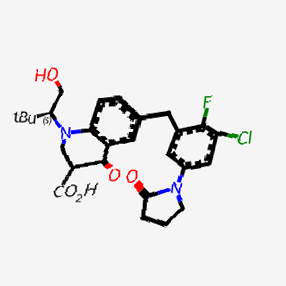 CC(C)(C)[C@@H](CO)N1CC(C(=O)O)C(=O)c2cc(Cc3cc(N4CCCC4=O)cc(Cl)c3F)ccc21